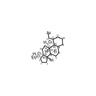 CC[C@H]1CC[C@H]2[C@@H]3CCC4CCCC(CC(C)=O)[C@]4(C)[C@H]3CC[C@]12C